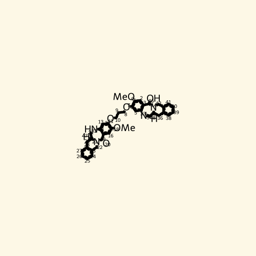 COc1cc2c(cc1OCCCOc1cc3c(cc1OC)C(=O)N1Cc4ccccc4C[C@H]1CN3)N=C[C@@H]1Cc3ccccc3CN1C2O